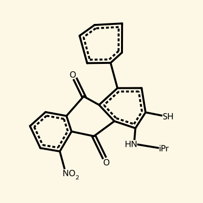 CC(C)Nc1c(S)cc(-c2ccccc2)c2c1C(=O)c1c(cccc1[N+](=O)[O-])C2=O